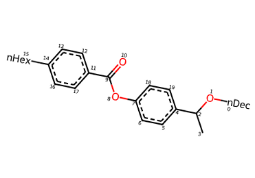 CCCCCCCCCCOC(C)c1ccc(OC(=O)c2ccc(CCCCCC)cc2)cc1